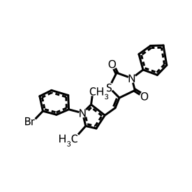 Cc1cc(C=C2SC(=O)N(c3ccccc3)C2=O)c(C)n1-c1cccc(Br)c1